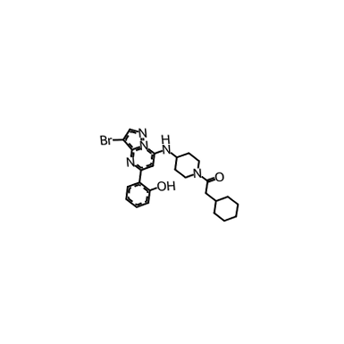 O=C(CC1CCCCC1)N1CCC(Nc2cc(-c3ccccc3O)nc3c(Br)cnn23)CC1